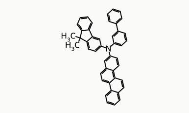 CC1(C)c2ccccc2-c2cc(N(c3cccc(-c4ccccc4)c3)c3ccc4c(ccc5c6ccccc6ccc45)c3)ccc21